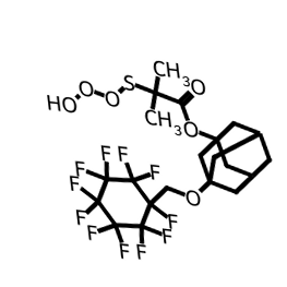 CC(C)(SOOO)C(=O)OC12CC3CC(CC(OCC4(F)C(F)(F)C(F)(F)C(F)(F)C(F)(F)C4(F)F)(C3)C1)C2